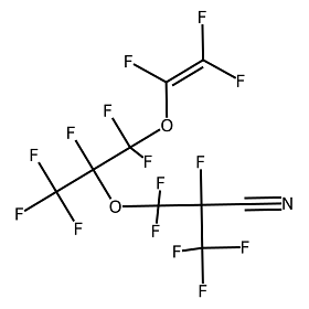 N#CC(F)(C(F)(F)F)C(F)(F)OC(F)(C(F)(F)F)C(F)(F)OC(F)=C(F)F